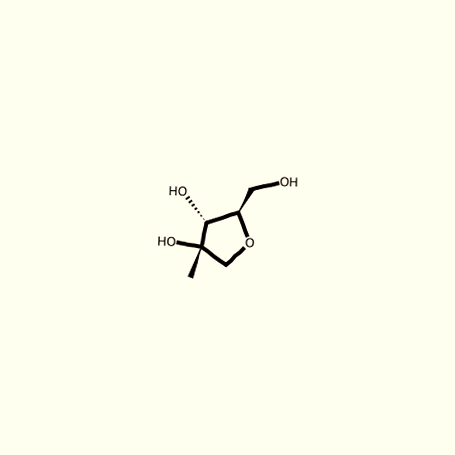 C[C@]1(O)CO[C@H](CO)[C@H]1O